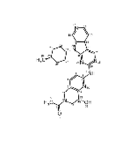 CC(=O)N1Cc2ccc(Nc3ncc4c5ccncc5n([C@H]5CC[C@H](C)CC5)c4n3)nc2[C@H](O)C1